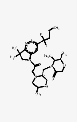 CCCC(F)(F)c1cc2c(nn1)C(C)(C)CN2C(=O)CN1CC(C)NC[C@@H]1CN1C(=O)COC(C)C1C